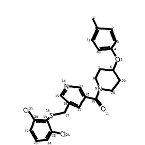 Cc1ccc(OC2CCN(C(=O)c3cncc(CSc4c(Cl)cccc4Cl)c3)CC2)cc1